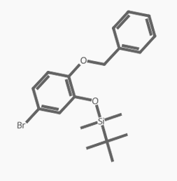 CC(C)(C)[Si](C)(C)Oc1cc(Br)ccc1OCc1ccccc1